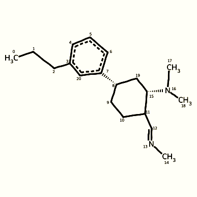 CCCc1cccc([C@H]2CCC(C=NC)[C@@H](N(C)C)C2)c1